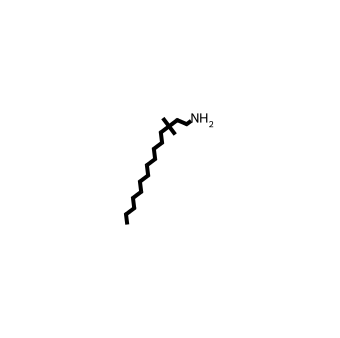 CCCCCCCCCCCCC(C)(C)CCN